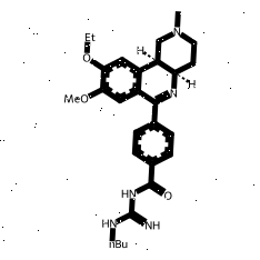 CCCCNC(=N)NC(=O)c1ccc(C2=N[C@@H]3CCN(C)C[C@@H]3c3cc(OCC)c(OC)cc32)cc1